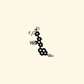 CCOc1ccc(-c2ccc3c(c2)C(CO)(CO)c2cc(-c4ccc5ccc6cc(C(C)(C)C)cc7ccc4c5c67)ccc2-3)cc1C(F)(F)F